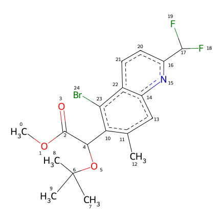 COC(=O)C(OC(C)(C)C)c1c(C)cc2nc(C(F)F)ccc2c1Br